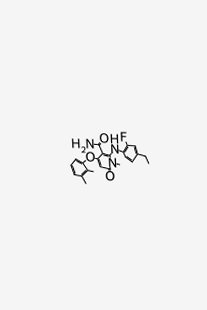 CCc1ccc(Nc2c(C(N)=O)c(Oc3cccc(C)c3C)cc(=O)n2C)c(F)c1